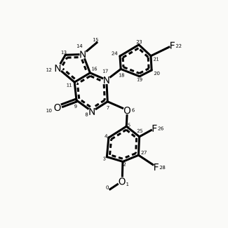 COc1ccc(Oc2nc(=O)c3ncn(C)c3n2-c2ccc(F)cc2)c(F)c1F